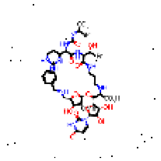 CO[C@H]1[C@@H](OC(C(NCCCNC(=O)C(NC(=O)C(NC(=O)NC(C(=O)O)C(C)C)C2CCNC(=N)N2)C(O)C(C)C)C(=O)O)[C@H]2O[C@@H](n3ccc(=O)[nH]c3=O)[C@H](O)[C@@H]2O)O[C@H](CNCc2ccccc2)[C@@H]1O